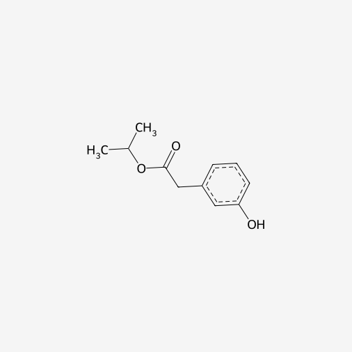 CC(C)OC(=O)Cc1cccc(O)c1